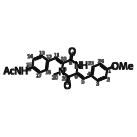 COc1ccc(C=c2[nH]c(=O)c(=Cc3ccc(NC(C)=O)cc3)n(C)c2=O)cc1